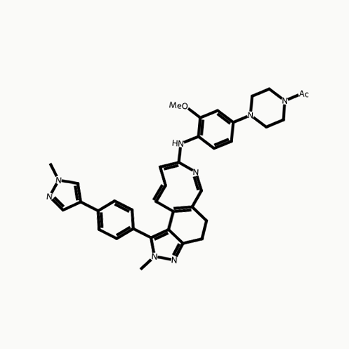 COc1cc(N2CCN(C(C)=O)CC2)ccc1NC1=C/C=C/C2=C(/C=N\1)CCc1nn(C)c(-c3ccc(-c4cnn(C)c4)cc3)c12